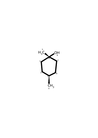 C[C@H]1CC[C@](C)(O)CC1